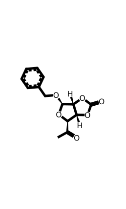 CC(=O)[C@H]1O[C@@H](OCc2ccccc2)[C@@H]2OC(=O)O[C@@H]21